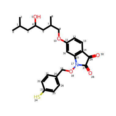 CC(C)CC(O)CC(C)COc1ccc2c(c1)N(OCc1ccc(S)cc1)C(=O)C2=O